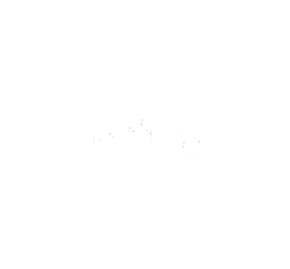 CN1CCN(C(=O)NCCOc2ccccc2)CC1